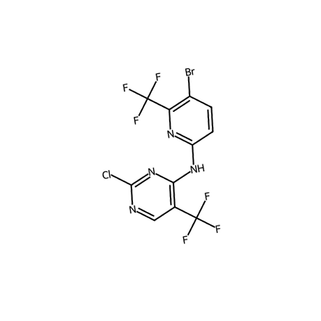 FC(F)(F)c1cnc(Cl)nc1Nc1ccc(Br)c(C(F)(F)F)n1